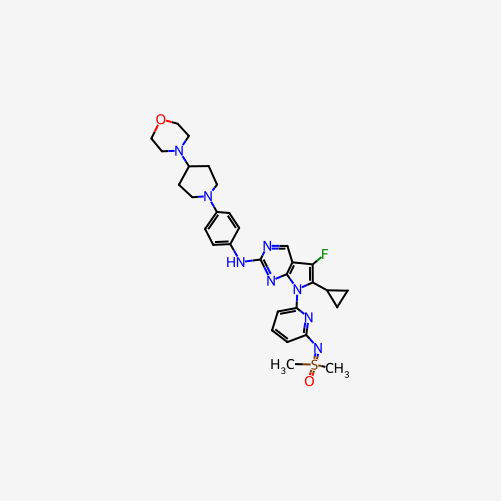 CS(C)(=O)=Nc1cccc(-n2c(C3CC3)c(F)c3cnc(Nc4ccc(N5CCC(N6CCOCC6)CC5)cc4)nc32)n1